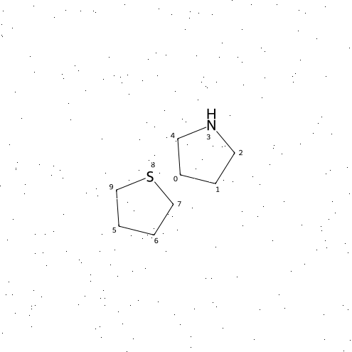 C1CCNC1.C1CCSC1